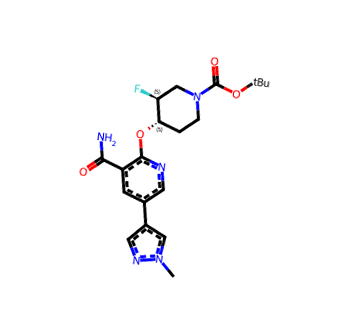 Cn1cc(-c2cnc(O[C@H]3CCN(C(=O)OC(C)(C)C)C[C@@H]3F)c(C(N)=O)c2)cn1